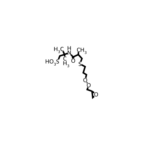 CC(CSCCCOOCC1CO1)C(=O)NC(C)(C)CS(=O)(=O)O